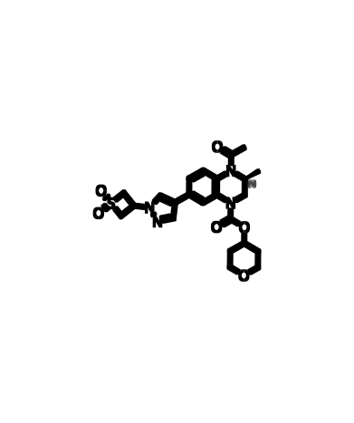 CC(=O)N1c2ccc(-c3cnn(C4CS(=O)(=O)C4)c3)cc2N(C(=O)OC2CCOCC2)C[C@@H]1C